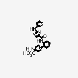 NC1(C(=O)O)CCN(c2ccccc2NC(=O)c2csc(Nc3ccsc3)n2)CC1